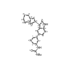 CCCCC(=O)Nc1cncc(-c2cnc3[nH]nc(-c4cc5cccnc5[nH]4)c3c2)c1